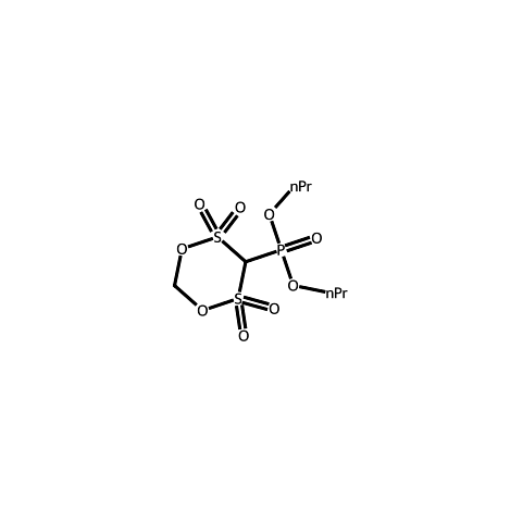 CCCOP(=O)(OCCC)C1S(=O)(=O)OCOS1(=O)=O